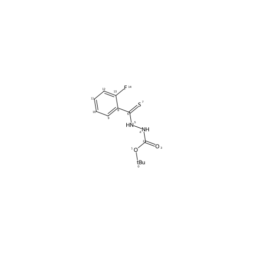 CC(C)(C)OC(=O)NNC(=S)c1ccccc1F